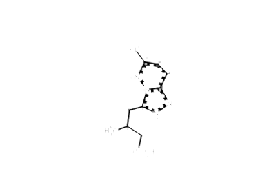 CC(CC(=O)O)Cc1nnc2ccc(Cl)nn12